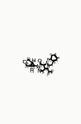 O=c1c2nn(Cc3ccccc3F)c(C(F)F)c2cnn1C1[C@H]2COC[C@@H]12